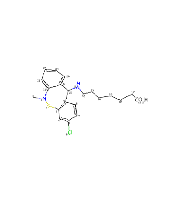 CN1Sc2cc(Cl)ccc2C(NCCCCCCC(=O)O)c2ccccc21